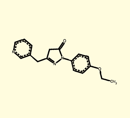 CCOc1ccc(N2N=C(Cc3cccnc3)CC2=O)cc1